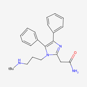 CC(C)(C)NCCCn1c(CC(N)=O)nc(-c2ccccc2)c1-c1ccccc1